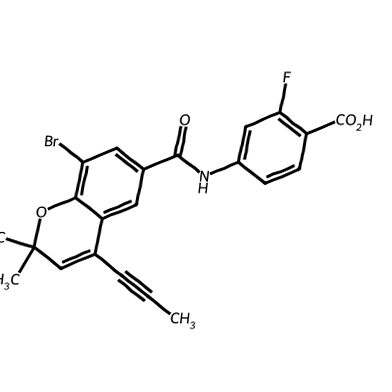 CC#CC1=CC(C)(C)Oc2c(Br)cc(C(=O)Nc3ccc(C(=O)O)c(F)c3)cc21